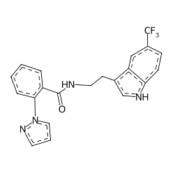 O=C(NCCc1c[nH]c2ccc(C(F)(F)F)cc12)c1ccccc1-n1cccn1